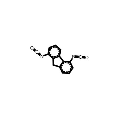 O=C=Nc1cccc2c1Cc1cccc(N=C=O)c1-2